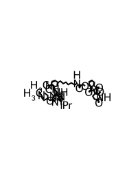 CC(C)c1cnn2c(NCc3cc(CCCCCCNC(=O)COc4cccc5c4C(=O)N(C4CCC(=O)NC4=O)C5=O)ccc3N(C)C)nc(OC3CCN(C)CC3)nc12